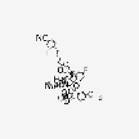 Cc1ccc(COP(=O)([O-])[O-])c(C(=O)O[C@@](Cn2cncn2)(c2ccc(F)cc2F)[C@@H](C)SC2COC(C=CC=Cc3ccc(C#N)cc3F)OC2)c1.[Na+].[Na+]